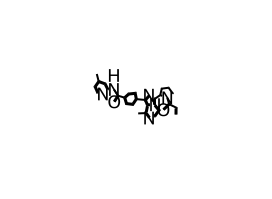 C=CC(=O)N1CCCC1c1nc(-c2ccc(C(=O)Nc3cc(C)ccn3)cc2)c2c(C)nccn12